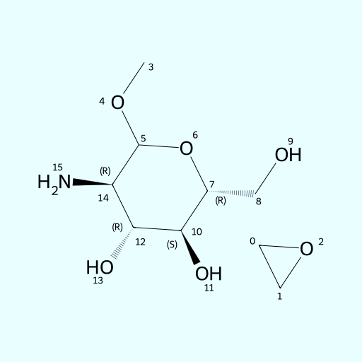 C1CO1.COC1O[C@H](CO)[C@@H](O)[C@H](O)[C@H]1N